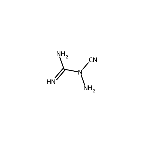 N#CN(N)C(=N)N